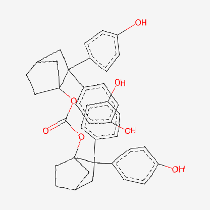 O=C(OC12CCC(C1)CC2(c1ccc(O)cc1)c1ccc(O)cc1)OC12CCC(C1)CC2(c1ccc(O)cc1)c1ccc(O)cc1